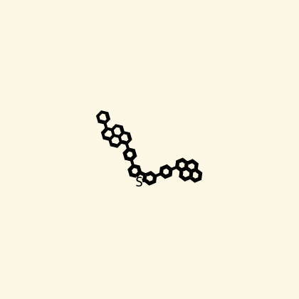 C1=CC(C2=CC=C3C=CC4=C(c5ccc(-c6ccc7sc8ccc(-c9ccc(-c%10ccc%11ccc%12cccc%13ccc%10c%11c%12%13)cc9)cc8c7c6)cc5)C=CC5=CCC2C3C54)=CCC1